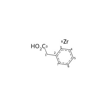 O=C(O)Cc1ccccc1.[Zr]